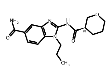 CCCn1c(NC(=O)[C@@H]2CCCOC2)nc2cc(C(N)=O)ccc21